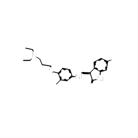 CCN(CC)CCCNc1ccc(NC=C2C(=O)Nc3cc(F)ccc32)cc1C